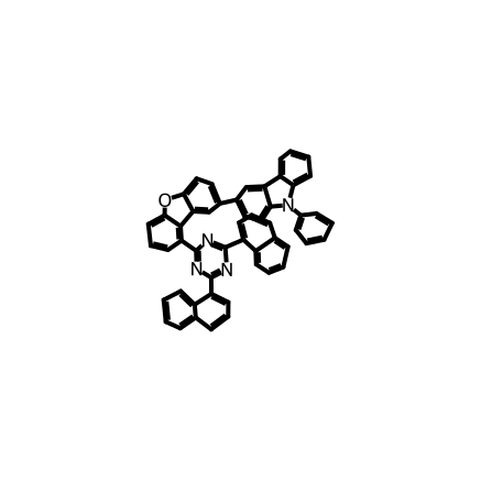 c1ccc(-n2c3ccccc3c3cc(-c4ccc5oc6cccc(-c7nc(-c8cccc9ccccc89)nc(-c8cccc9ccccc89)n7)c6c5c4)ccc32)cc1